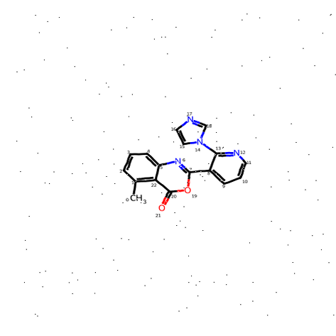 Cc1cccc2nc(-c3cccnc3-n3ccnc3)oc(=O)c12